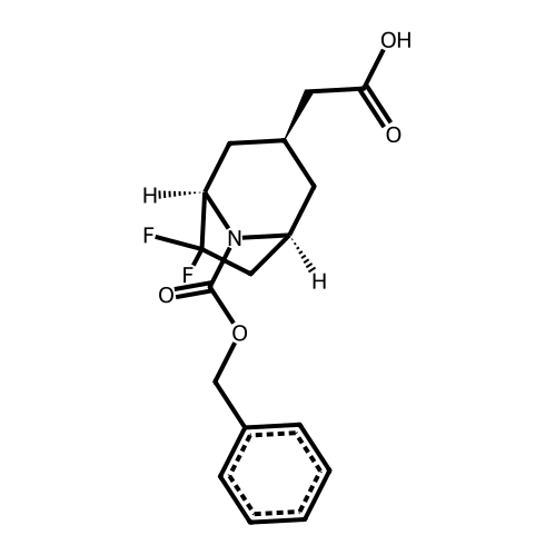 O=C(O)C[C@H]1C[C@H]2CC(F)(F)[C@@H](C1)N2C(=O)OCc1ccccc1